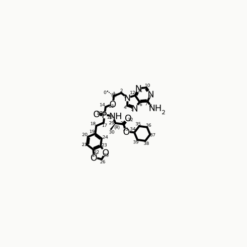 C[C@H](Cn1cnc2c(N)ncnc21)OCP(=O)(CCc1ccc2c(c1)OCO2)N[C@H](C)C(=O)OC1CCCCC1